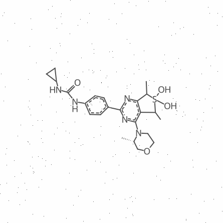 CC1c2nc(-c3ccc(NC(=O)NC4CC4)cc3)nc(N3CCOC[C@@H]3C)c2C(C)S1(O)O